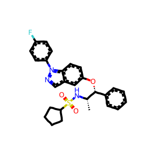 C[C@H](NS(=O)(=O)C1CCCC1)[C@H](Oc1ccc2c(cnn2-c2ccc(F)cc2)c1)c1ccccc1